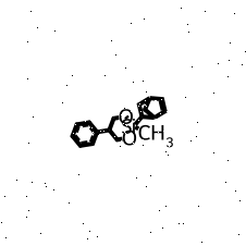 C[Si]1(C2CC3C=CC2C3)OCC(c2ccccc2)CO1